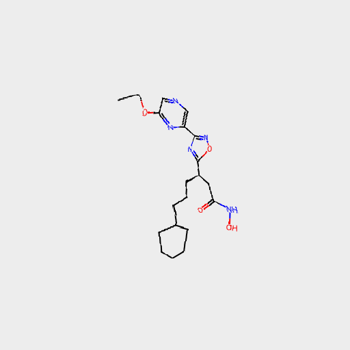 CCOc1cncc(-c2noc([C@H](CCCC3CCCCC3)CC(=O)NO)n2)n1